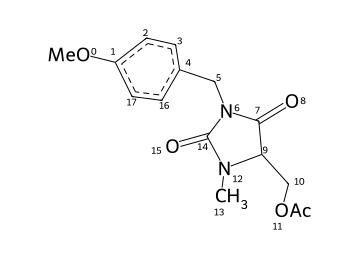 COc1ccc(CN2C(=O)C(COC(C)=O)N(C)C2=O)cc1